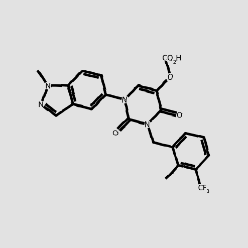 Cc1c(Cn2c(=O)c(OC(=O)O)cn(-c3ccc4c(cnn4C)c3)c2=O)cccc1C(F)(F)F